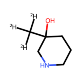 [2H]C([2H])([2H])C1(O)CCCNC1